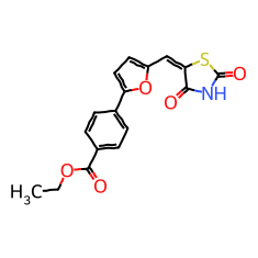 CCOC(=O)c1ccc(-c2ccc(C=C3SC(=O)NC3=O)o2)cc1